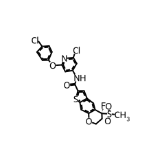 CS(=O)(=O)[C@@]1(F)CCOc2cc3sc(C(=O)Nc4cc(Cl)nc(Oc5ccc(Cl)cc5)c4)cc3cc21